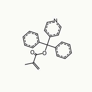 C=C(C)C(=O)OC(c1ccccc1)(c1ccccc1)c1ccncc1